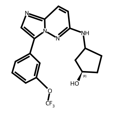 O[C@@H]1CCC(Nc2ccc3ncc(-c4cccc(OC(F)(F)F)c4)n3n2)C1